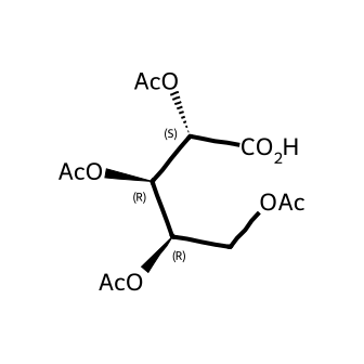 CC(=O)OC[C@@H](OC(C)=O)[C@@H](OC(C)=O)[C@H](OC(C)=O)C(=O)O